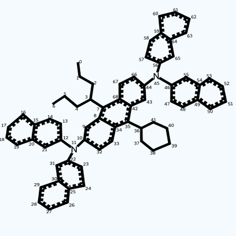 CCCC(CCC)c1c2cc(N(c3ccc4ccccc4c3)c3ccc4ccccc4c3)ccc2c(C2CCCCC2)c2cc(N(c3ccc4ccccc4c3)c3ccc4ccccc4c3)ccc12